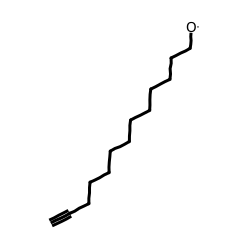 C#CCCCCCCCCCCC[O]